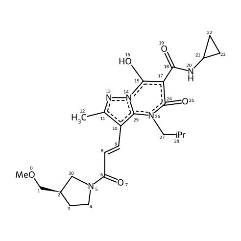 COC[C@@H]1CCN(C(=O)/C=C/c2c(C)nn3c(O)c(C(=O)NC4CC4)c(=O)n(CC(C)C)c23)C1